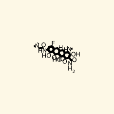 CN(C)CC(=O)Nc1cc(F)c2c(c1O)C(=O)C1=C(O)[C@]3(O)C(=O)C(C(N)=O)=C(O)[C@@H](N(C)C)[C@@H]3C[C@@H]1C2